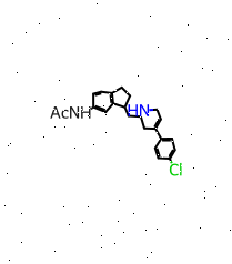 CC(=O)Nc1ccc2c(c1)C(CC1CC(c3ccc(Cl)cc3)=CCN1)CC2